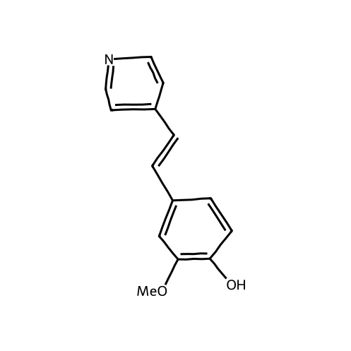 COc1cc(C=Cc2ccncc2)ccc1O